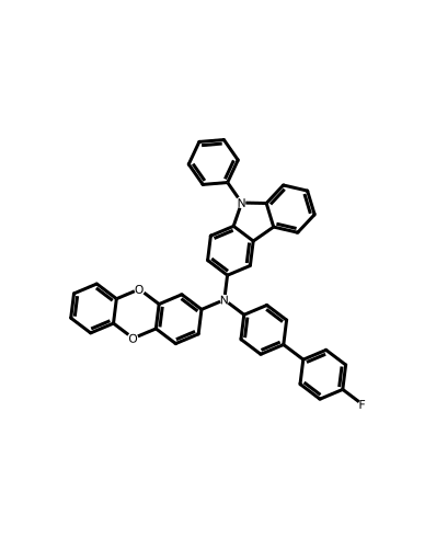 Fc1ccc(-c2ccc(N(c3ccc4c(c3)Oc3ccccc3O4)c3ccc4c(c3)c3ccccc3n4-c3ccccc3)cc2)cc1